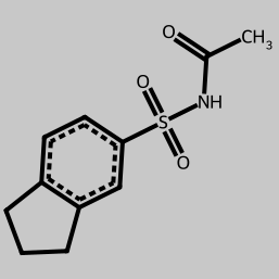 CC(=O)NS(=O)(=O)c1ccc2c(c1)CCC2